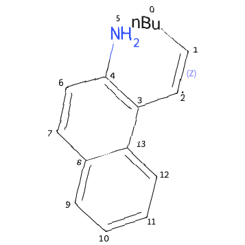 CCCC/C=[C]\c1c(N)ccc2ccccc12